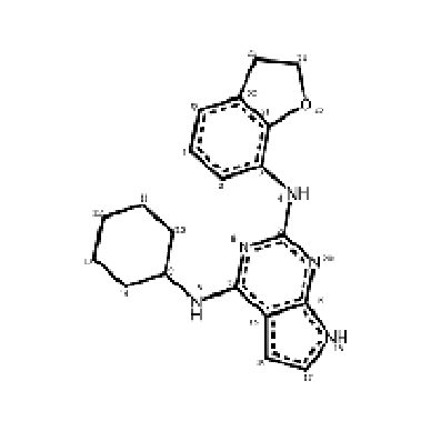 [c]1ccc(Nc2nc(NC3CCCCC3)c3cc[nH]c3n2)c2c1CCO2